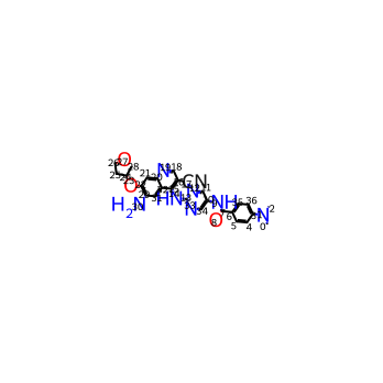 CN(C)c1ccc(C(=O)Nc2cnc(Nc3c(C#N)cnc4cc(OC5CCOC5)c(N)cc34)nc2)cc1